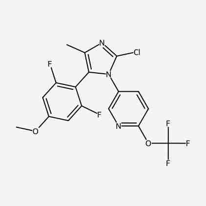 COc1cc(F)c(-c2c(C)nc(Cl)n2-c2ccc(OC(F)(F)F)nc2)c(F)c1